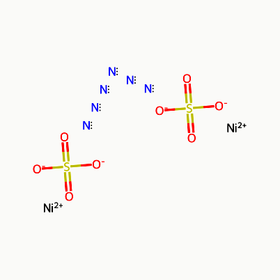 O=S(=O)([O-])[O-].O=S(=O)([O-])[O-].[N].[N].[N].[N].[N].[N].[Ni+2].[Ni+2]